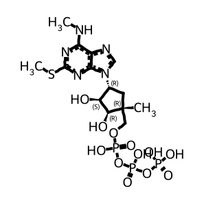 CNc1nc(SC)nc2c1ncn2[C@@H]1C[C@](C)(COP(=O)(O)OP(=O)(O)OP(=O)(O)O)[C@@H](O)[C@H]1O